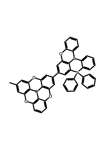 Cc1cc2c3c(c1)Oc1cc(-c4cc5c6c(c4)[Si](c4ccccc4)(c4ccccc4)c4ccccc4B6c4ccccc4O5)cc4c1B3c1c(cccc1O4)O2